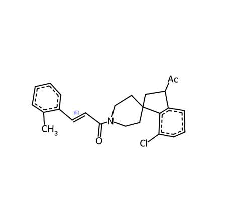 CC(=O)C1CC2(CCN(C(=O)/C=C/c3ccccc3C)CC2)c2c(Cl)cccc21